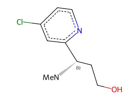 CN[C@@H](CCO)c1cc(Cl)ccn1